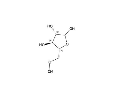 N#COC[C@H]1OC(O)[C@@H](O)[C@@H]1O